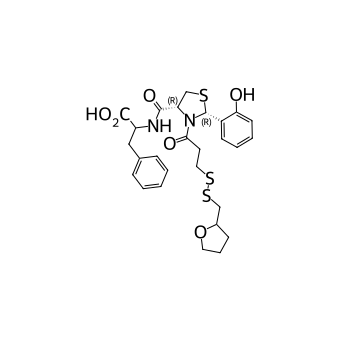 O=C(O)C(Cc1ccccc1)NC(=O)[C@@H]1CS[C@H](c2ccccc2O)N1C(=O)CCSSCC1CCCO1